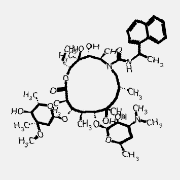 CC[C@H]1OC(=O)[C@H](C)[C@@H](O[C@H]2C[C@@](C)(OC)[C@@H](O)[C@H](C)O2)[C@H](C)[C@@H](O[C@@H]2O[C@H](C)C[C@H](N(C)C)[C@H]2O)[C@](C)(O)C[C@@H](C)CN(C(=O)NC(C)c2cccc3ccccc23)[C@H](C)[C@@H](O)[C@]1(C)O